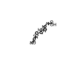 Cc1c(Nc2nccc3cc(CN4CC(C(=O)O)C4)cnc23)cccc1-c1cccc(-c2nc3c(s2)CN(C(=O)CN(C)C)C3)c1C